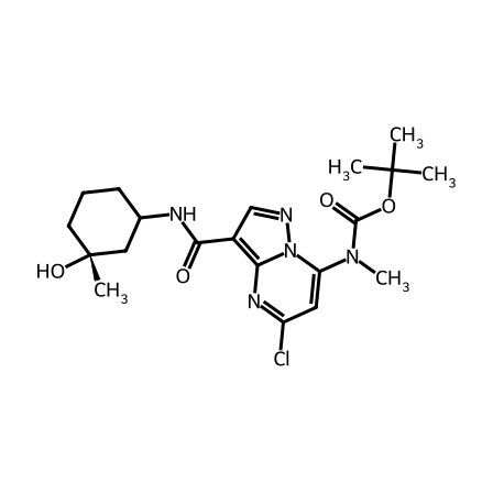 CN(C(=O)OC(C)(C)C)c1cc(Cl)nc2c(C(=O)NC3CCC[C@@](C)(O)C3)cnn12